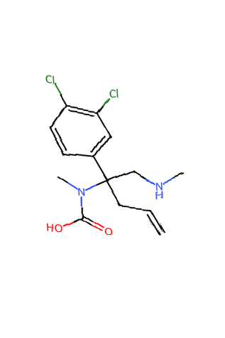 C=CCC(CNC)(c1ccc(Cl)c(Cl)c1)N(C)C(=O)O